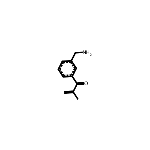 C=C(C)C(=O)c1cccc(CN)c1